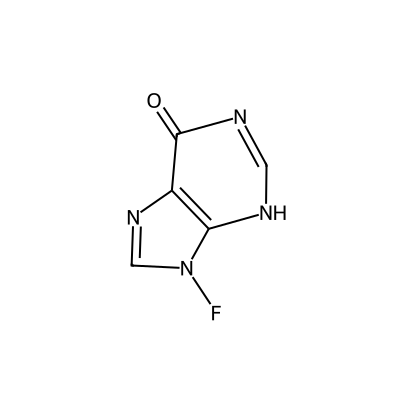 O=c1nc[nH]c2c1ncn2F